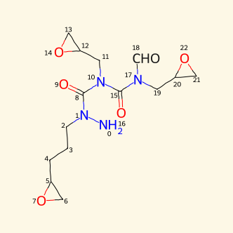 NN(CCCC1CO1)C(=O)N(CC1CO1)C(=O)N(C=O)CC1CO1